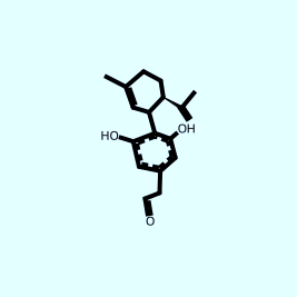 C=C(C)[C@@H]1CCC(C)=CC1c1c(O)cc(CC=O)cc1O